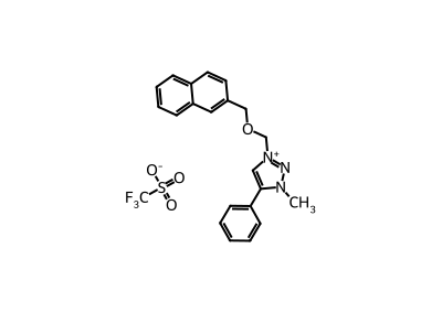 Cn1n[n+](COCc2ccc3ccccc3c2)cc1-c1ccccc1.O=S(=O)([O-])C(F)(F)F